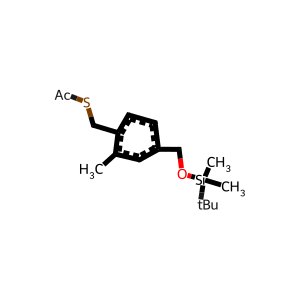 CC(=O)SCc1ccc(CO[Si](C)(C)C(C)(C)C)cc1C